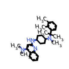 Cc1cccc(C(C)(C)N(C)C2CCC(Nc3cc(N(C)C)c4ccccc4n3)CC2)c1C